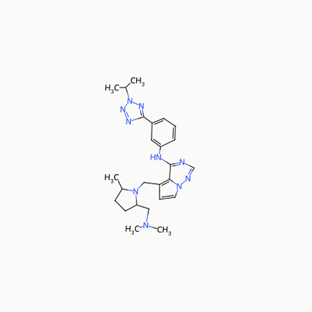 CC1CCC(CN(C)C)N1Cc1ccn2ncnc(Nc3cccc(-c4nnn(C(C)C)n4)c3)c12